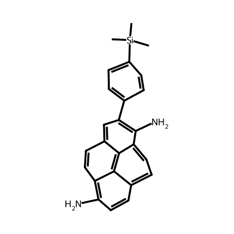 C[Si](C)(C)c1ccc(-c2cc3ccc4c(N)ccc5ccc(c2N)c3c54)cc1